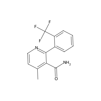 Cc1ccnc(-c2ccccc2C(F)(F)F)c1C(N)=O